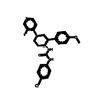 COc1ccc(C2CN(c3ccncc3F)CC[C@H]2NC(=O)Nc2ccc(Cl)cc2)cc1